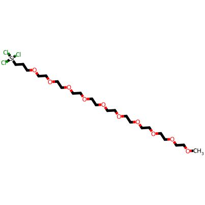 COCCOCCOCCOCCOCCOCCOCCOCCOCCOCCC[Si](Cl)(Cl)Cl